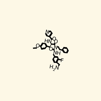 CCOc1ccc(C[C@@H](NC(=O)c2ccncc2)C(=O)N(CCc2ccccc2)C(=O)NCc2ccc(CN)c(F)c2)cc1